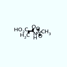 C=C(C(=O)O)C(=O)NS(C)(=O)=O